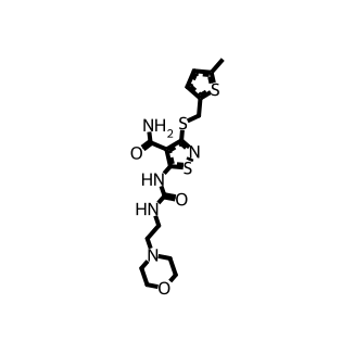 Cc1ccc(CSc2nsc(NC(=O)NCCN3CCOCC3)c2C(N)=O)s1